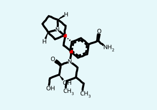 CCC(CC)CN(CCCN1[C@@H]2CC[C@H]1C[C@@H](c1cccc(C(N)=O)c1)C2)C(=O)[C@@H](O)CO